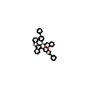 c1ccc(C2=Nc3cc(-c4c(N(c5ccc(-c6ccccc6)cc5)c5ccc6ccccc6c5)c5c6ccccc6oc5c5ccccc45)ccc3C2)cc1